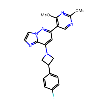 COc1ncc(-c2cc(N3CC(c4ccc(F)cc4)C3)c3nccn3n2)c(OC)n1